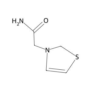 NC(=O)CN1C=CSC1